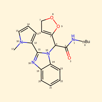 CCCCNC(=O)C(C1=CCOO1)n1c(-c2cccn2C)nc2ccccc21